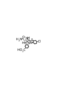 CN(C)C(CC(N)=O)C1(Nc2nc3ccc(Cl)cc3s2)Nc2cc(C(=O)O)ccc2N1C